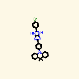 CC1(C)C2C=CC=CC2N(c2ccc(C3=NC4NC(c5ccc(Br)cc5)NC4=N3)cc2)C2C=CC=CC21